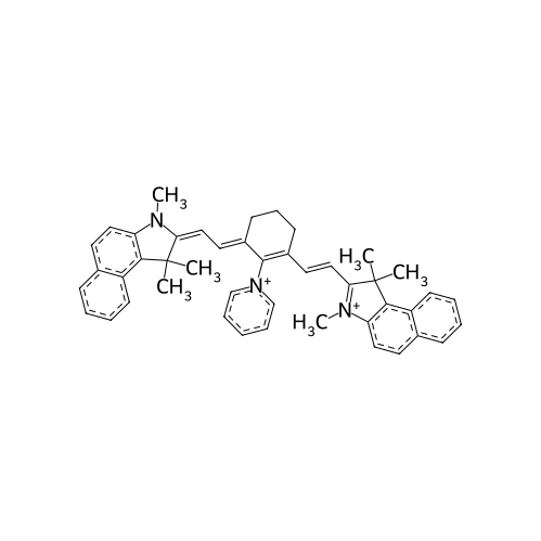 CN1/C(=C/C=C2\CCCC(/C=C/C3=[N+](C)c4ccc5ccccc5c4C3(C)C)=C2[n+]2ccccc2)C(C)(C)c2c1ccc1ccccc21